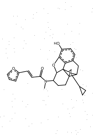 CN(C(=O)/C=C/c1ccco1)C1CCC2(C)C3Cc4ccc(O)c5c4C2(CCN3C2CC2)C1O5